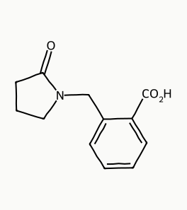 O=C(O)c1ccccc1CN1CCCC1=O